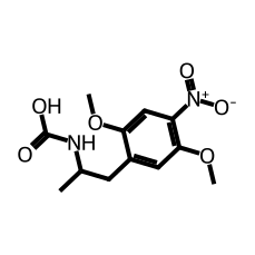 COc1cc([N+](=O)[O-])c(OC)cc1CC(C)NC(=O)O